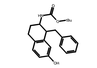 CC(C)(C)OC(=O)NC1CCc2ccc(O)cc2C1Cc1ccccc1